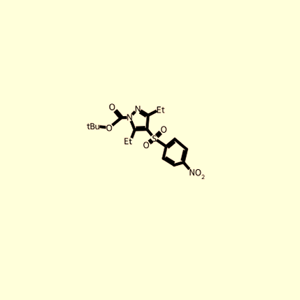 CCc1nn(C(=O)OC(C)(C)C)c(CC)c1S(=O)(=O)c1ccc([N+](=O)[O-])cc1